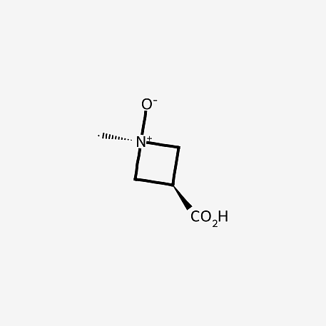 [CH2][N@+]1([O-])C[C@@H](C(=O)O)C1